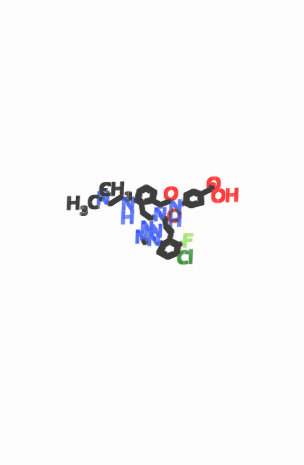 CN(C)CCNc1cccc2c1CCN(C(=O)C=Cc1c(-n3cnnn3)ccc(Cl)c1F)C2C(=O)Nc1ccc(C(=O)O)cc1